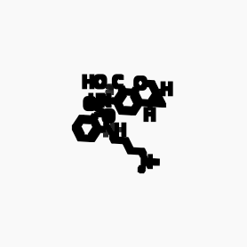 CN(C)CCCCNc1ccccc1S(=O)(=O)Nc1ccc2c(c1C(=O)O)OC[C@H]1C[C@@H]21